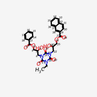 CCn1c(=O)n(CC(O)COC(=O)c2ccccc2)c(=O)n(CC(O)COC(=O)c2ccc3ccccc3c2)c1=O